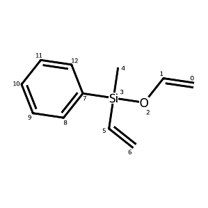 C=CO[Si](C)(C=C)c1ccccc1